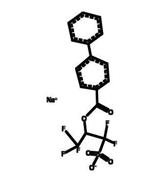 O=C(OC(C(F)(F)F)C(F)(F)S(=O)(=O)[O-])c1ccc(-c2ccccc2)cc1.[Na+]